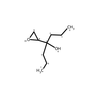 CCCC(O)(CCC)C1CO1